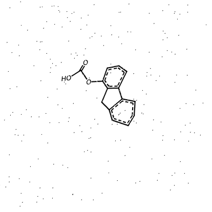 O=C(O)Oc1cccc2c1Cc1ccccc1-2